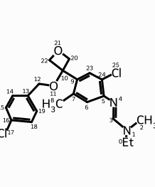 CCN(C)C=Nc1cc(C)c(C2(OCc3ccc(Cl)cc3)COC2)cc1Cl